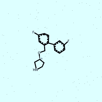 Fc1cccc(-c2ccc(F)cc2CO[C@H]2CCNC2)c1